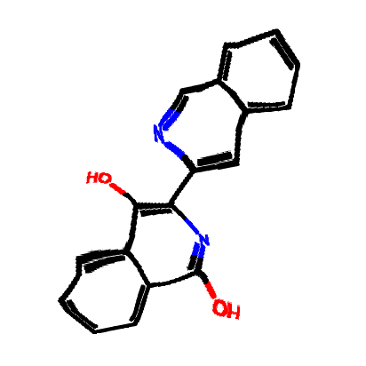 Oc1nc(-c2cc3ccccc3cn2)c(O)c2ccccc12